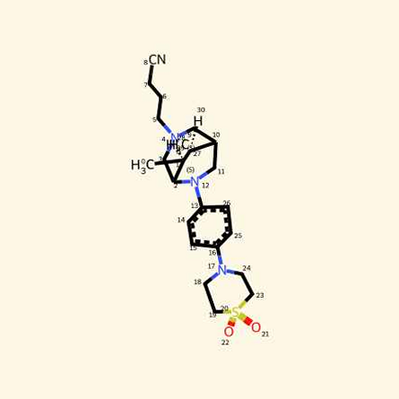 C[C@@H]1C2CN(CCCC#N)CC(CN2c2ccc(N3CCS(=O)(=O)CC3)cc2)[C@@H]1C